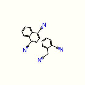 N#CCc1ccccc1C#N.N#Cc1ccc(C#N)c2ccccc12